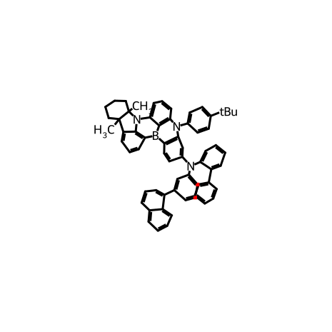 CC(C)(C)c1ccc(N2c3cc(N(c4cccc(-c5cccc6ccccc56)c4)c4ccccc4-c4ccccc4)ccc3B3c4cccc5c4N(c4cccc2c43)C2(C)CCCCC52C)cc1